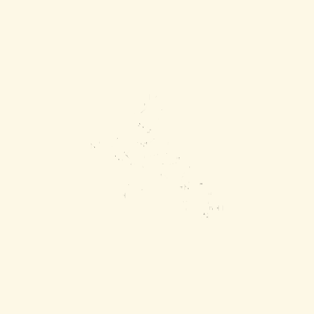 C[C@@H](C#N)NC(=O)[C@@H]1C[C@@H](F)CC[C@H]1c1nc(-c2ccc(F)cn2)sc1-c1ccc(N2CCS(O)(O)CC2)cc1